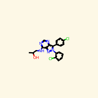 CC(O)CNc1ncnc2c(-c3ccc(Cl)cc3)n(-c3ccccc3Cl)nc12